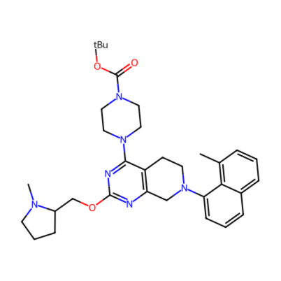 Cc1cccc2cccc(N3CCc4c(nc(OCC5CCCN5C)nc4N4CCN(C(=O)OC(C)(C)C)CC4)C3)c12